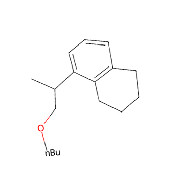 [CH2]CCCOCC(C)c1cccc2c1CCCC2